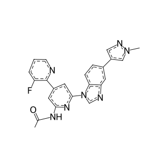 CC(=O)Nc1cc(-c2ncccc2F)cc(-n2cnc3cc(-c4cnn(C)c4)ccc32)n1